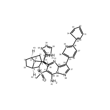 CS(=O)(=O)c1c([C@@]2(O)C[C@H]3CC[C@@H](C2)N3C(=O)c2nnc[nH]2)nc2c(-c3ccc(-c4ccccc4)nc3)cnn2c1N